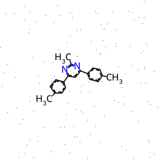 Cc1ccc(-c2cc(-c3ccc(C)cc3)nc(C)n2)cc1